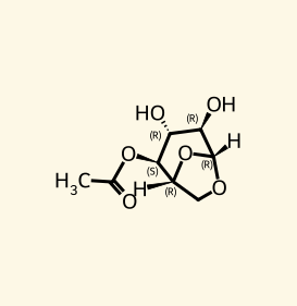 CC(=O)O[C@H]1[C@H](O)[C@@H](O)[C@@H]2OC[C@H]1O2